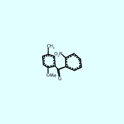 COc1ccc(C)cc1C(=O)c1ccccc1[N+](=O)[O-]